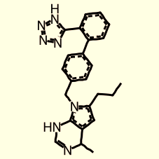 CCCc1cc2c(n1Cc1ccc(-c3ccccc3-c3nnn[nH]3)cc1)NC=NC2C